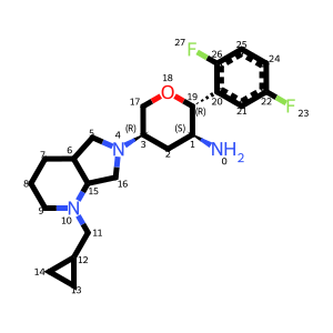 N[C@H]1C[C@@H](N2CC3CCCN(CC4CC4)C3C2)CO[C@@H]1c1cc(F)ccc1F